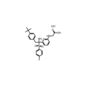 CC(C)(C)c1ccc(CC(N)(c2cccc(NCC(=O)O)n2)S(=O)(=O)c2ccc(F)cc2)cc1.Cl